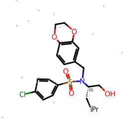 CC(C)C[C@@H](CO)N(Cc1ccc2c(c1)OCCO2)S(=O)(=O)c1ccc(Cl)cc1